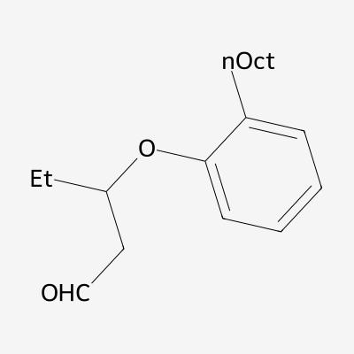 CCCCCCCCc1ccccc1OC(CC)CC=O